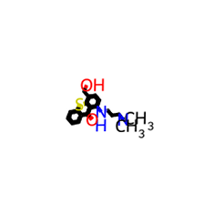 CN(C)CCCNc1ccc(CO)c2sc3ccccc3c(=O)c12